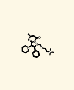 Cc1cc(=O)n2c(n1)c(N1CCCCC1)c(-c1ccccc1)n2COCC[Si](C)(C)C